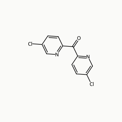 O=C(c1ccc(Cl)cn1)c1ccc(Cl)cn1